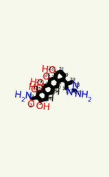 NC(=O)C1=C(O)C[C@@H]2C[C@@H]3Cc4c(-c5cnc(N)nc5)ccc(O)c4C(=O)C3=C(O)[C@]2(O)C1=O